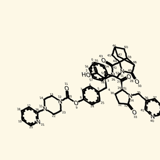 O=C(O)[C@H](Cc1ccc(OC(=O)N2CCN(c3ccccn3)CC2)cc1)N(C(=O)[C@@H]1CCC(=O)N1Cc1cccnc1)C(=O)C12CC3CC(C(=O)N1Cc1ccccc1)C2C3